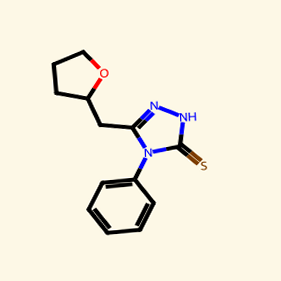 S=c1[nH]nc(CC2CCCO2)n1-c1ccccc1